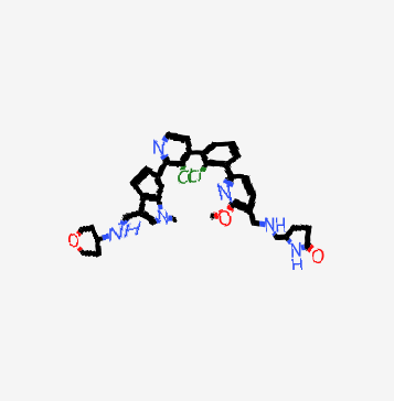 COc1nc(-c2cccc(-c3ccnc(-c4ccc5c(CNC6CCOCC6)cn(C)c5c4)c3Cl)c2Cl)ccc1CNCC1CCC(=O)N1